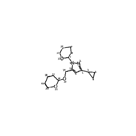 [c]1c(C2CC2)nn(C2CCCCO2)c1COC1CCCCO1